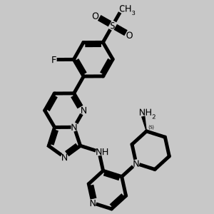 CS(=O)(=O)c1ccc(-c2ccc3cnc(Nc4cnccc4N4CCC[C@H](N)C4)n3n2)c(F)c1